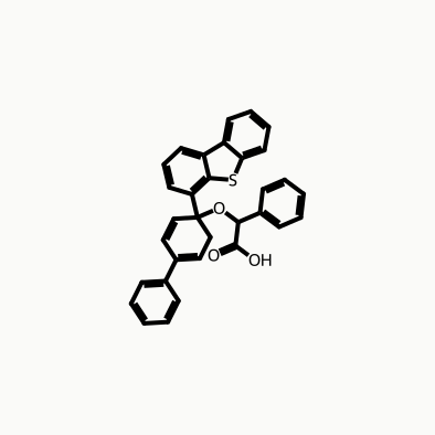 O=C(O)C(OC1(c2cccc3c2sc2ccccc23)C=CC(c2ccccc2)=CC1)c1ccccc1